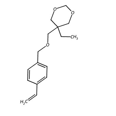 C=Cc1ccc(COCC2(CC)COCOC2)cc1